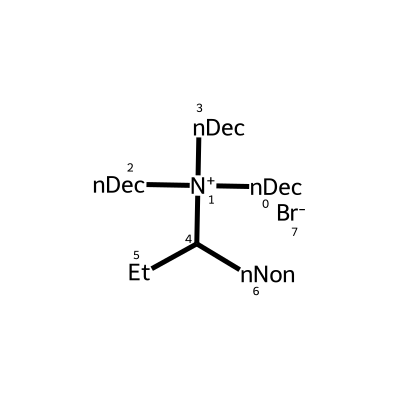 CCCCCCCCCC[N+](CCCCCCCCCC)(CCCCCCCCCC)C(CC)CCCCCCCCC.[Br-]